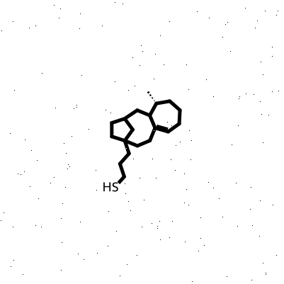 C[C@@H]1CCCC=C2CCC3(CCCS)CCC(CC21)C3